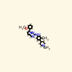 COc1ccccc1-c1ccc2cnc(Nc3ccc(C4CCN(C)CC4)c(C)c3)nn12